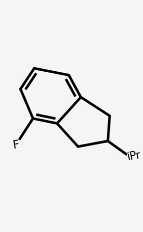 CC(C)C1Cc2cccc(F)c2C1